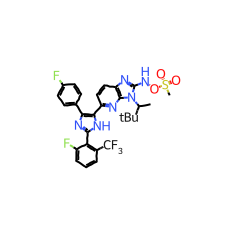 CC(n1c(NOS(C)(=O)=O)nc2ccc(-c3[nH]c(-c4c(F)cccc4C(F)(F)F)nc3-c3ccc(F)cc3)nc21)C(C)(C)C